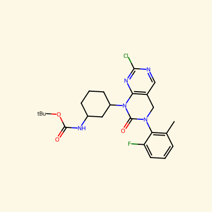 Cc1cccc(F)c1N1Cc2cnc(Cl)nc2N(C2CCCC(NC(=O)OC(C)(C)C)C2)C1=O